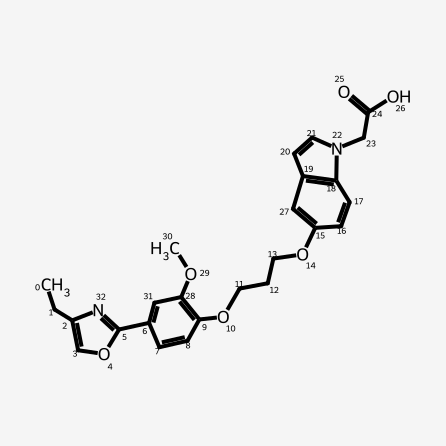 CCc1coc(-c2ccc(OCCCOc3ccc4c(ccn4CC(=O)O)c3)c(OC)c2)n1